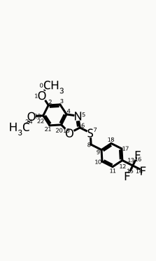 COc1cc2nc(SCc3ccc(C(F)(F)F)cc3)oc2cc1OC